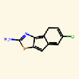 Nc1nc2c(s1)=CC1=CC(Cl)=CCC=21